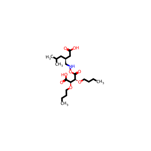 CCCCO[C@@H](C(=O)O)[C@@H](OCCCC)C(=O)ONC[C@H](CC(=O)O)CC(C)C